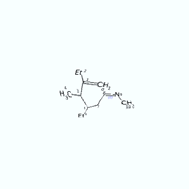 C=C(CC)C(C)C(CC)C/C=N\C